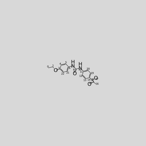 CCOc1ccc(NC(=O)Nc2ccc(S(C)(=O)=O)cc2)cc1